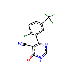 N#Cc1c(-c2cc(C(F)(F)F)ccc2F)nc[nH]c1=O